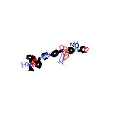 CC1(C)C2C=C(c3ccccc3CN3CCN(c4ccc(C(=O)NS(=O)(=O)c5ccc(NCC6CCOCC6)c([N+](=O)[O-])c5)cc4)CC3)C1(C(=O)NC1CC1)CC2